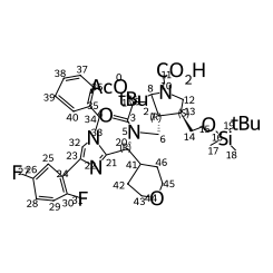 CC(=O)O[C@@H](C)C(=O)N(C[C@@H]1C(C(C)(C)C)N(C(=O)O)C[C@H]1CO[Si](C)(C)C(C)(C)C)[C@@H](c1nc(-c2cc(F)ccc2F)cn1Cc1ccccc1)C1CCOCC1